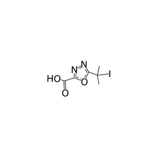 CC(C)(I)c1nnc(C(=O)O)o1